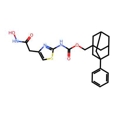 O=C(Cc1csc(NC(=O)OCC23CC4CC(C2)CC(c2ccccc2)(C4)C3)n1)NO